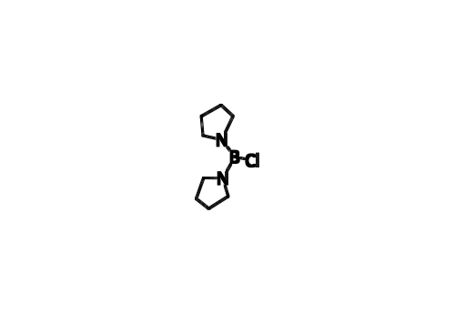 ClB(N1CCCC1)N1CCCC1